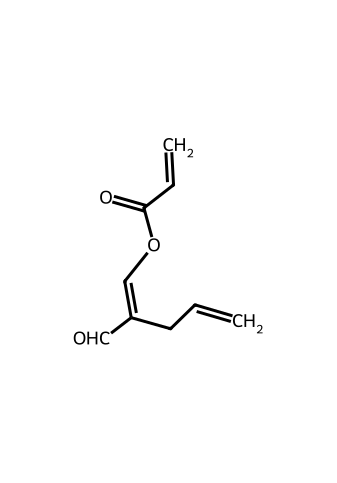 C=CCC(C=O)=COC(=O)C=C